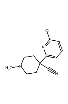 CN1CCC(C#N)(c2cccc(Cl)n2)CC1